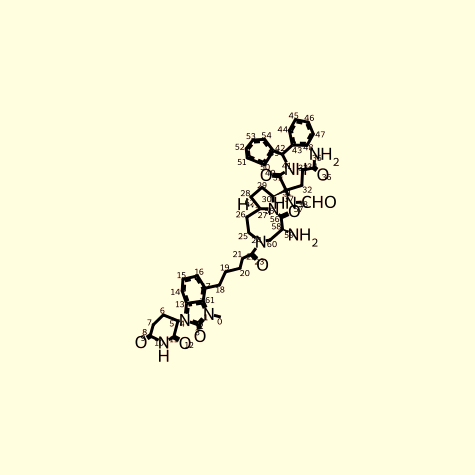 Cn1c(=O)n(C2CCC(=O)NC2=O)c2cccc(CCCCC(=O)N3CC[C@H]4CC[C@@H](C(CCC(N)=O)(NC=O)C(=O)NC(c5ccccc5)c5ccccc5)N4C(=O)[C@@H](N)C3)c21